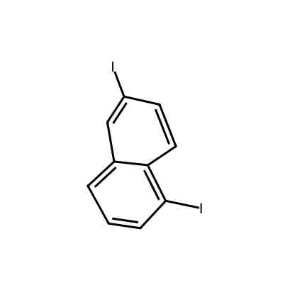 Ic1ccc2c(I)cccc2c1